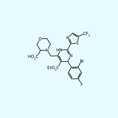 CCOC(=O)C1=C(CN2CCOCC2C(=O)O)NC(c2ncc(C(F)(F)F)s2)=NC1c1ccc(F)cc1Br